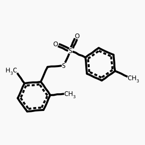 Cc1ccc(S(=O)(=O)SCc2c(C)cccc2C)cc1